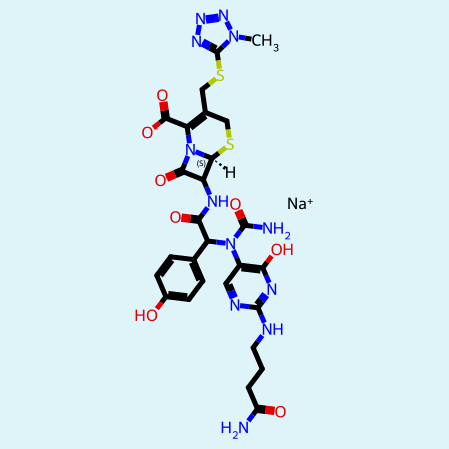 Cn1nnnc1SCC1=C(C(=O)[O-])N2C(=O)C(NC(=O)C(c3ccc(O)cc3)N(C(N)=O)c3cnc(NCCCC(N)=O)nc3O)[C@@H]2SC1.[Na+]